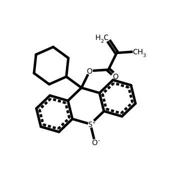 C=C(C)C(=O)OC1(C2CCCCC2)c2ccccc2[S+]([O-])c2ccccc21